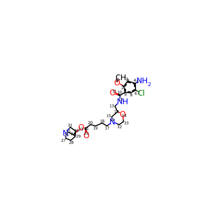 COc1cc(N)c(Cl)cc1C(=O)NCC1CN(CCCCC(=O)OC2CN3CCC2CC3)CCO1